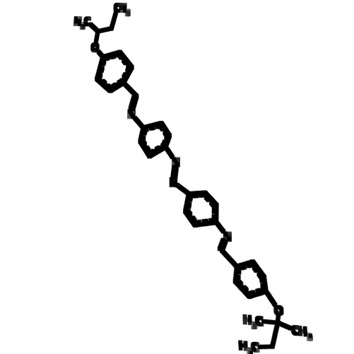 CCC(C)Oc1ccc(/C=N/c2ccc(N=Nc3ccc(N=Cc4ccc(OC(C)(C)CC)cc4)cc3)cc2)cc1